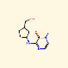 Cn1ccnc(N[C@H]2CC[C@@H](CO)C2)c1=O